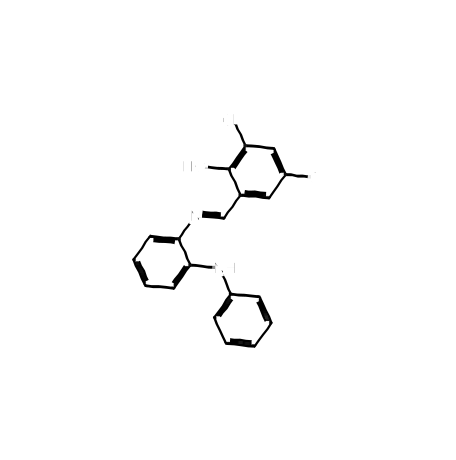 Oc1c(Cl)cc(Cl)cc1C=Nc1ccccc1Nc1ccccc1